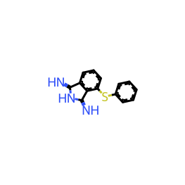 N=C1NC(=N)c2c(Sc3ccccc3)cccc21